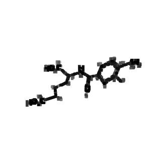 Cc1cc(C(=O)NC(CCCC(=O)O)C(=O)O)ccc1N